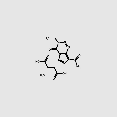 Cn1nnc2c(C(N)=O)ncn2c1=O.O=C(O)CCC(=O)O.S.S